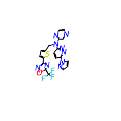 FC(F)(F)c1nc(-c2ccc(CN(c3cnccn3)c3ccc(-n4cccn4)nn3)s2)no1